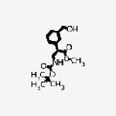 COC(=O)C(CNC(=O)OC(C)(C)C)c1cccc(CO)c1